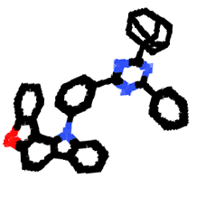 c1ccc(-c2nc(-c3cccc(-n4c5ccccc5c5ccc6oc7ccccc7c6c54)c3)nc(C34CC5CC(CC(C5)C3)C4)n2)cc1